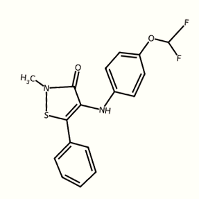 Cn1sc(-c2ccccc2)c(Nc2ccc(OC(F)F)cc2)c1=O